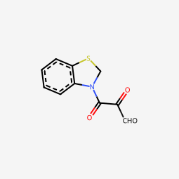 O=CC(=O)C(=O)N1CSc2ccccc21